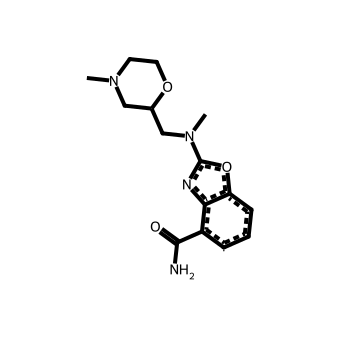 CN1CCOC(CN(C)c2nc3c(C(N)=O)[c]ccc3o2)C1